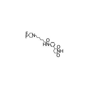 O=C1CCC(c2cccc(NC(=O)CCCCCCN3CCC(F)(F)CC3)c2)C(=O)N1